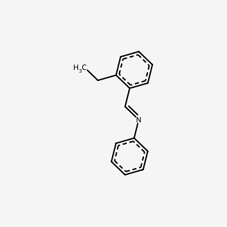 CCc1ccccc1C=Nc1ccccc1